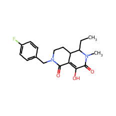 CCC1C2CCN(Cc3ccc(F)cc3)C(=O)C2=C(O)C(=O)N1C